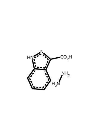 NN.O=C(O)c1n[nH]c2ccccc12